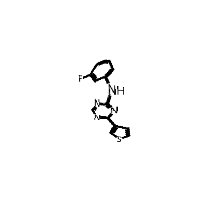 Fc1cccc(Nc2ncnc(-c3ccsc3)n2)c1